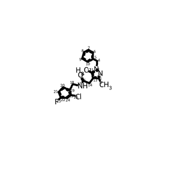 Cc1nn(Cc2ccccc2)c(C)c1CC(=O)NCc1ccc(F)cc1Cl